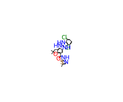 Cc1cnc(NC(=O)c2cc3c(c4c2OC(C)(C)C4)NC(Nc2c(Cl)cccc2Cl)N3)s1